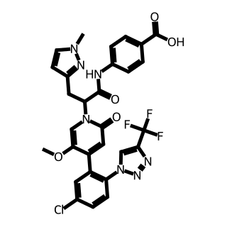 COc1cn(C(Cc2ccn(C)n2)C(=O)Nc2ccc(C(=O)O)cc2)c(=O)cc1-c1cc(Cl)ccc1-n1cc(C(F)(F)F)nn1